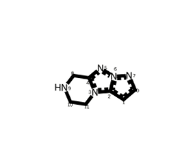 c1cc2n3c(nn2n1)CNCC3